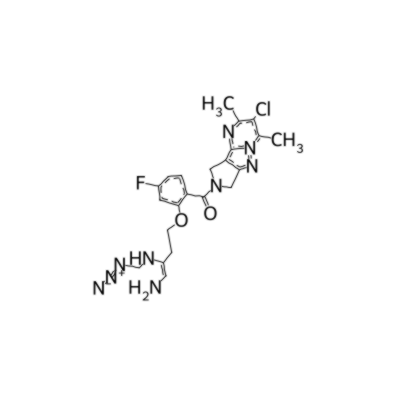 Cc1nc2c3c(nn2c(C)c1Cl)CN(C(=O)c1ccc(F)cc1OCC/C(=C/N)NCN=[N+]=[N-])C3